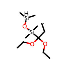 [CH2]CC(OCC)(OCC)[Si](C)(C)O[SiH](C)C